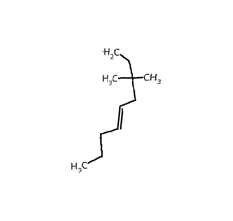 [CH2]CC(C)(C)CC=CCCC